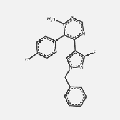 Nc1ncnc(-c2cn(Cc3ccccc3)nc2F)c1-c1ccc(Cl)cc1